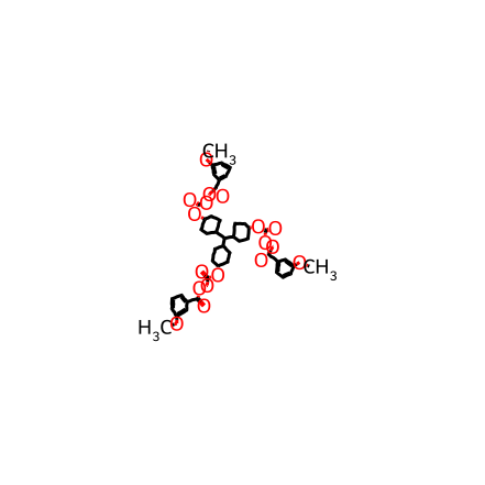 COc1cccc(C(=O)OOC(=O)OC2CCC(C(C3CCC(OC(=O)OOC(=O)c4cccc(OC)c4)CC3)C3CCC(OC(=O)OOC(=O)c4cccc(OC)c4)CC3)CC2)c1